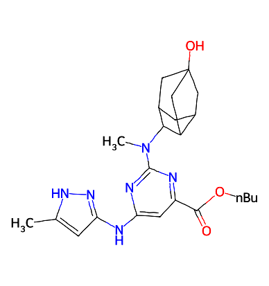 CCCCOC(=O)c1cc(Nc2cc(C)[nH]n2)nc(N(C)C2C3CC4CC(O)(C3)CC42)n1